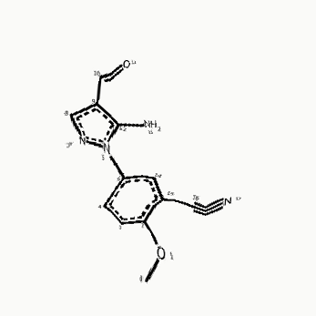 COc1ccc(-n2ncc(C=O)c2N)cc1C#N